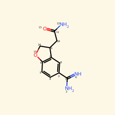 N=C(N)c1ccc2c(c1)C(CC(N)=O)CO2